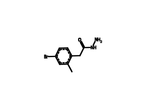 Cc1cc(Br)ccc1CC(=O)NN